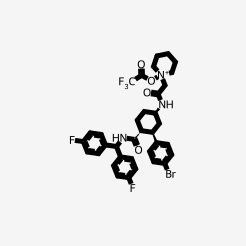 O=C(C[N+]1(OC(=O)C(F)(F)F)CCCCC1)N[C@@H]1CC[C@@H](C(=O)NC(c2ccc(F)cc2)c2ccc(F)cc2)[C@H](c2ccc(Br)cc2)C1